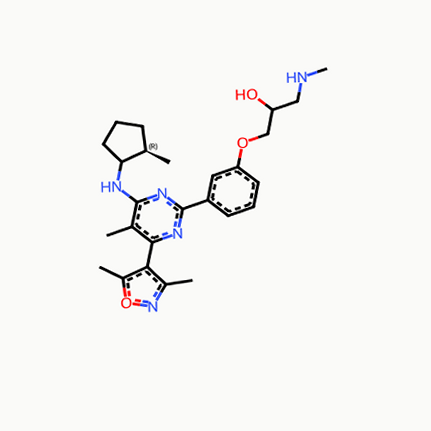 CNCC(O)COc1cccc(-c2nc(NC3CCC[C@H]3C)c(C)c(-c3c(C)noc3C)n2)c1